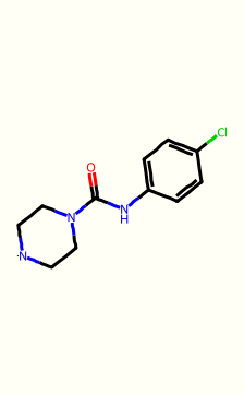 O=C(Nc1ccc(Cl)cc1)N1CC[N]CC1